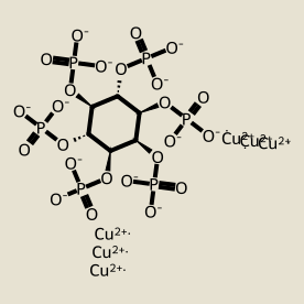 O=P([O-])([O-])O[C@H]1[C@H](OP(=O)([O-])[O-])[C@@H](OP(=O)([O-])[O-])[C@H](OP(=O)([O-])[O-])[C@@H](OP(=O)([O-])[O-])[C@H]1OP(=O)([O-])[O-].[Cu+2].[Cu+2].[Cu+2].[Cu+2].[Cu+2].[Cu+2]